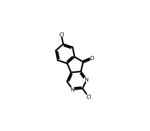 O=C1c2cc(Cl)ccc2-c2cnc(Cl)nc21